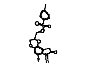 Cc1ccc(S(=O)(=O)OCC2COc3cc(F)c4c(c3O2)CC(=O)N4)cc1